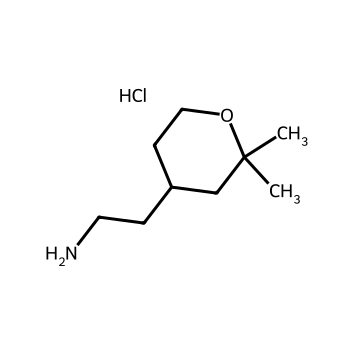 CC1(C)CC(CCN)CCO1.Cl